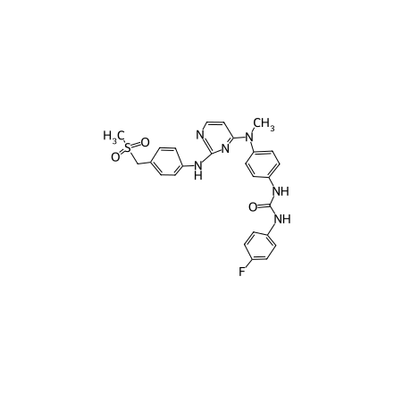 CN(c1ccc(NC(=O)Nc2ccc(F)cc2)cc1)c1ccnc(Nc2ccc(CS(C)(=O)=O)cc2)n1